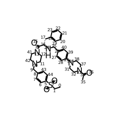 CCS(=O)(=O)c1ccc(CN2CCN(C(=O)[C@H](Cc3ccccc3)NCc3ccc(N4CCN(C(C)=O)CC4)cc3)CC2)cc1